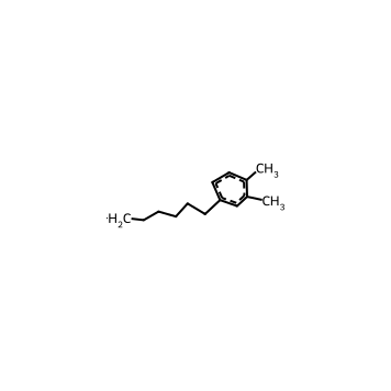 [CH2]CCCCCc1ccc(C)c(C)c1